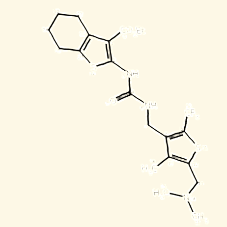 CCOC(=O)c1c(NC(=O)NCc2c(C(F)(F)F)sc(CN(C)C)c2C)sc2c1CCCC2